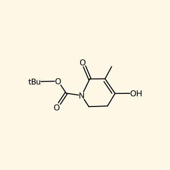 CC1=C(O)CCN(C(=O)OC(C)(C)C)C1=O